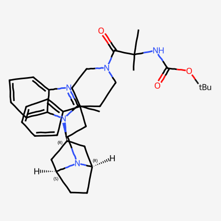 Cc1nc2ccccc2n1[C@H]1C[C@H]2CC[C@@H](C1)N2CCC1(c2ccccc2)CCN(C(=O)C(C)(C)NC(=O)OC(C)(C)C)CC1